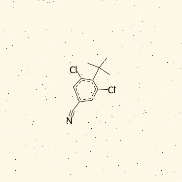 CC(C)(C)c1c(Cl)cc(C#N)cc1Cl